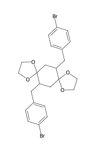 Brc1ccc(CC2CC3(OCCO3)C(Cc3ccc(Br)cc3)CC23OCCO3)cc1